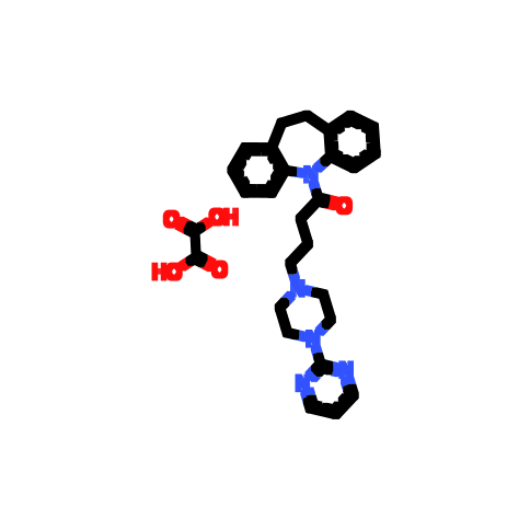 O=C(CCCN1CCN(c2ncccn2)CC1)N1c2ccccc2CCc2ccccc21.O=C(O)C(=O)O